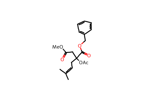 COC(=O)CC(CC=C(C)C)(OC(C)=O)C(=O)OCc1ccccc1